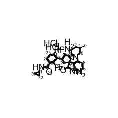 C[C@@H]1C[C@H](N)CN(c2ccncc2C2(C(N)=O)C=CC(F)=C(c3c(F)ccc(C(=O)NC4CC4)c3F)C2F)C1.Cl.Cl